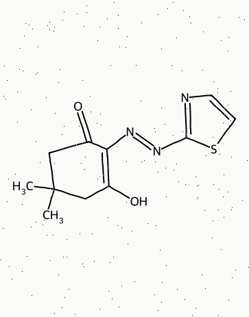 CC1(C)CC(=O)C(N=Nc2nccs2)=C(O)C1